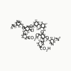 C/N=C/c1cncc(COc2cc(OCc3cccc(-c4cccc(COc5cc(OCc6cncc(/C=N/C)c6)c(CN6CCC[C@H](C(=O)O)C6)cc5Cl)c4C)c3C)c(Cl)cc2CN2CCC[C@H](C(=O)O)C2)c1